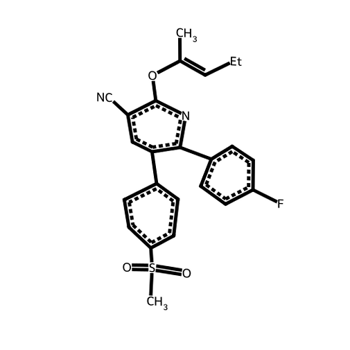 CCC=C(C)Oc1nc(-c2ccc(F)cc2)c(-c2ccc(S(C)(=O)=O)cc2)cc1C#N